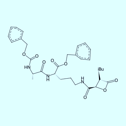 CC[C@H](C)[C@@H]1C(=O)O[C@H]1C(=O)NCCC[C@H](NC(=O)[C@H](C)NC(=O)OCc1ccccc1)C(=O)OCc1ccccc1